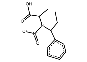 CCC(c1ccccc1)N(C(C)C(=O)O)[N+](=O)[O-]